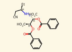 CC[C@@H](N)CC#N.O=C(O[C@@H](C(=O)O)[C@@H](OC(=O)c1ccccc1)C(=O)O)c1ccccc1